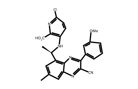 COc1cccc(-c2nc3c([C@@H](C)Nc4ccc(Cl)nc4C(=O)O)cc(C)cc3nc2C#N)c1